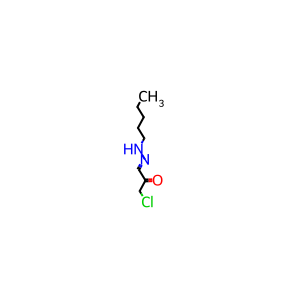 CCCCCN/N=C/C(=O)CCl